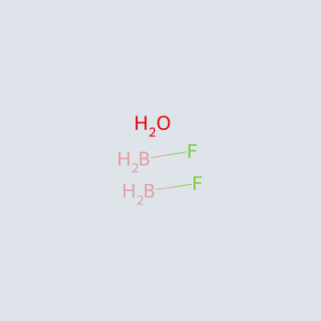 BF.BF.O